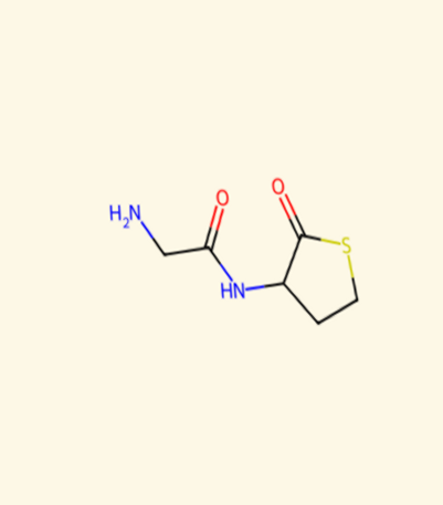 NCC(=O)NC1CCSC1=O